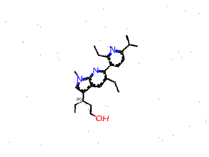 CCc1cc2c([C@H](CC)CCO)cn(C)c2nc1-c1ccc(C(C)C)nc1CC